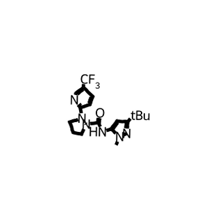 Cn1nc(C(C)(C)C)cc1NC(=O)N1CCCN1c1ccc(C(F)(F)F)cn1